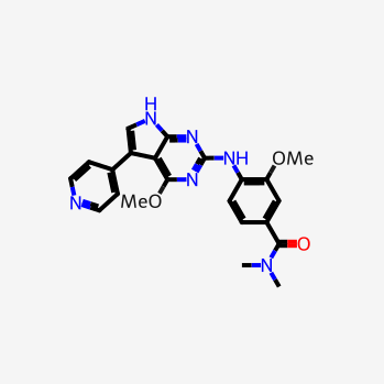 COc1cc(C(=O)N(C)C)ccc1Nc1nc(OC)c2c(-c3ccncc3)c[nH]c2n1